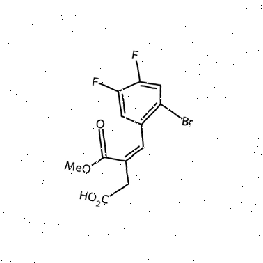 COC(=O)C(=Cc1cc(F)c(F)cc1Br)CC(=O)O